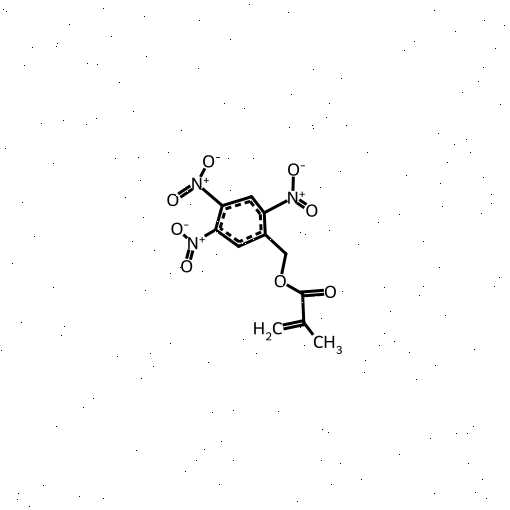 C=C(C)C(=O)OCc1cc([N+](=O)[O-])c([N+](=O)[O-])cc1[N+](=O)[O-]